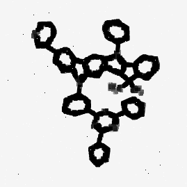 CC1(C)c2ccccc2-c2c1c1cc3c(cc1n2-c1ccccc1)c1cc(-c2cccnc2)ccc1n3-c1cccc(-c2nc(-c3ccccc3)nc(-c3ccccc3)n2)c1